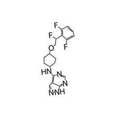 Fc1cccc(F)c1C(F)COC1CCC(Nc2ncnc3[nH]ncc23)CC1